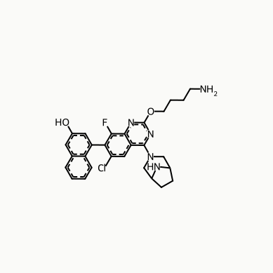 NCCCCOc1nc(N2CC3CCC(C2)N3)c2cc(Cl)c(-c3cc(O)cc4ccccc34)c(F)c2n1